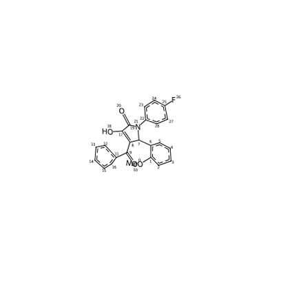 COc1ccccc1C1C(C(=O)c2ccccc2)=C(O)C(=O)N1c1ccc(F)cc1